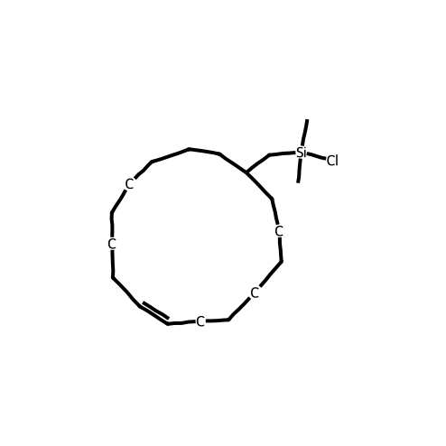 C[Si](C)(Cl)CC1CCCCCCC=CCCCCCCC1